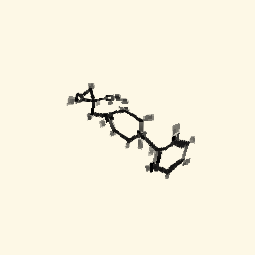 CC1(CN2CCN(c3ncccn3)CC2)CO1